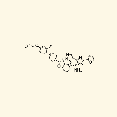 COCCOc1ccc(N2CCN(C(=O)C(C)(c3ccccc3)n3ncc4c3nc(N)n3nc(-c5ccco5)nc43)CC2)c(F)c1